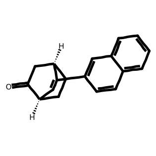 O=C1C[C@H]2CC[C@@H]1C=C2c1ccc2ccccc2c1